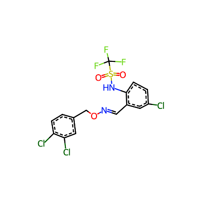 O=S(=O)(Nc1ccc(Cl)cc1/C=N/OCc1ccc(Cl)c(Cl)c1)C(F)(F)F